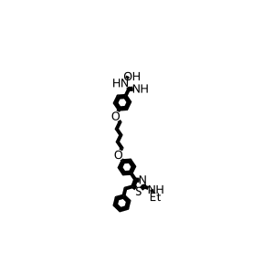 CCNc1nc(-c2ccc(OCCCCCOc3ccc(C(=N)NO)cc3)cc2)c(Cc2ccccc2)s1